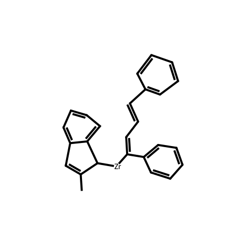 CC1=Cc2ccccc2[CH]1[Zr][C](=CC=Cc1ccccc1)c1ccccc1